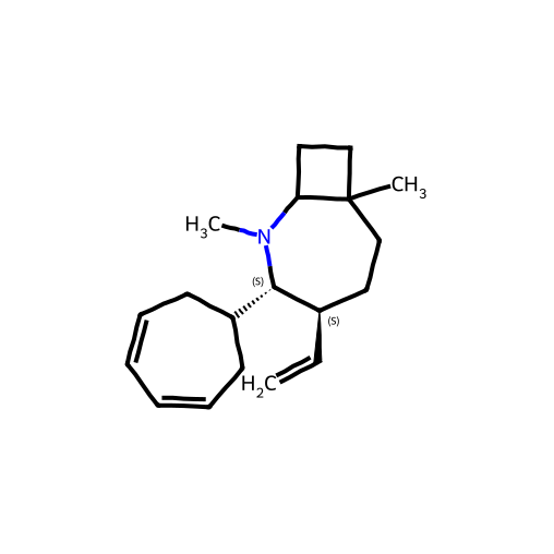 C=C[C@@H]1CCC2(C)CCC2N(C)[C@H]1C1CC=CC=CC1